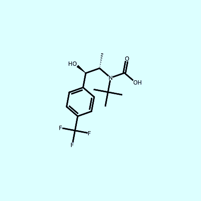 C[C@@H]([C@H](O)c1ccc(C(F)(F)F)cc1)N(C(=O)O)C(C)(C)C